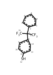 FC(F)(F)C(c1ccccc1)(c1ccc(S)cc1)C(F)(F)F